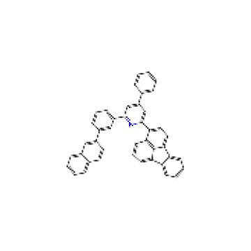 c1ccc(-c2cc(-c3cccc(-c4ccc5ccccc5c4)c3)nc(-c3ccc4c5c(cccc35)-c3ccccc3-4)c2)cc1